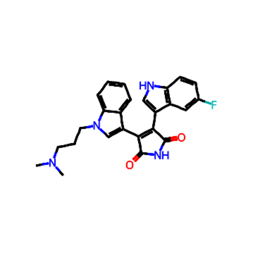 CN(C)CCCn1cc(C2=C(c3c[nH]c4ccc(F)cc34)C(=O)NC2=O)c2ccccc21